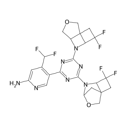 Nc1cc(C(F)F)c(-c2nc(N3C4CC5(CO4)CC(F)(F)C35)nc(N3C4COCC45CC(F)(F)C35)n2)cn1